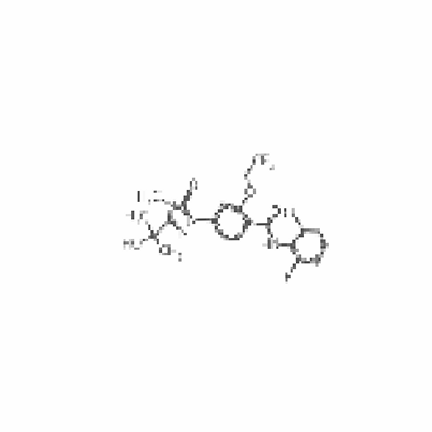 Cn1c(C(C)(C)O)nn(-c2ccc(C(=O)Nc3c(F)cccc3Cl)c(OCC(F)(F)F)c2)c1=O